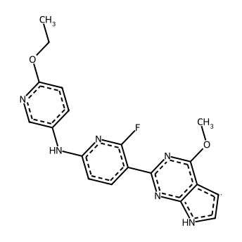 CCOc1ccc(Nc2ccc(-c3nc(OC)c4[c]c[nH]c4n3)c(F)n2)cn1